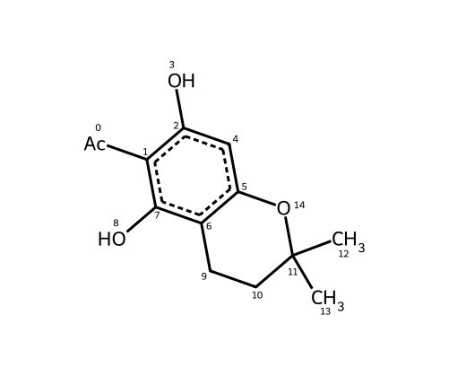 CC(=O)c1c(O)cc2c(c1O)CCC(C)(C)O2